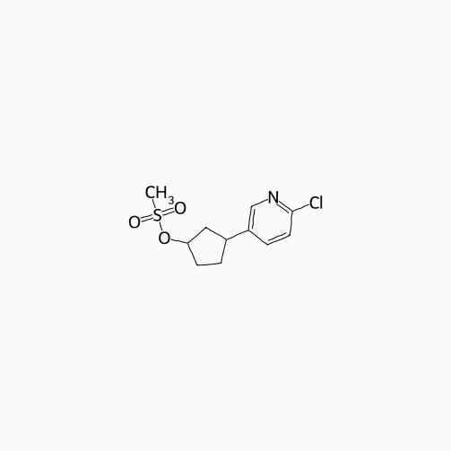 CS(=O)(=O)OC1CCC(c2ccc(Cl)nc2)C1